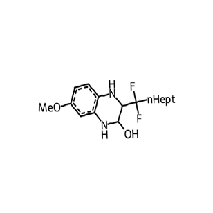 CCCCCCCC(F)(F)C1Nc2ccc(OC)cc2NC1O